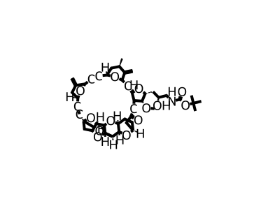 C=C1C[C@@H]2CC[C@@]34CC5O[C@H]6[C@@H](O3)[C@H]3O[C@H](CC[C@@H]3O[C@H]6[C@H]5O4)CC(=O)CC3[C@H](CC4O[C@@H](CCC1O2)C[C@@H](C)C4=C)O[C@H](C[C@H](O)CNC(=O)OC(C)(C)C)[C@@H]3OC